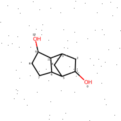 OC1CC2CC1C1CCC(O)C21